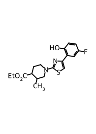 CCOC(=O)C1CCN(c2nc(-c3cc(F)ccc3O)cs2)CC1C